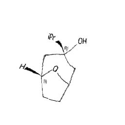 CC(C)[C@@]1(O)CC2CC[C@H](C1)O2